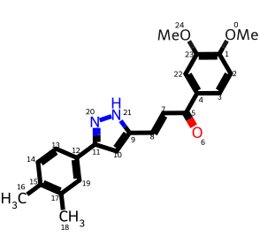 COc1ccc(C(=O)C=Cc2cc(-c3ccc(C)c(C)c3)n[nH]2)cc1OC